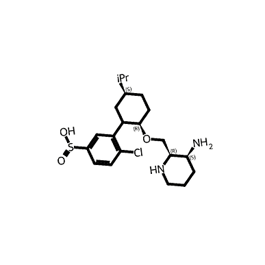 CC(C)[C@H]1CC[C@@H](OC[C@@H]2NCCC[C@@H]2N)C(c2cc(S(=O)O)ccc2Cl)C1